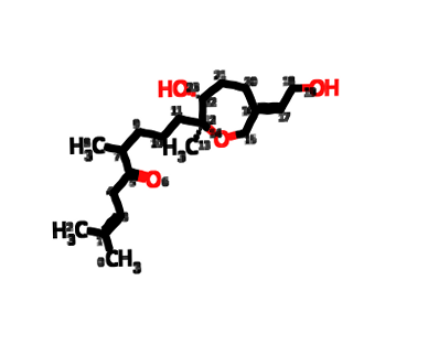 CC(C)=CCC(=O)C(C)CCC[C@]1(C)OC/C(=C/CO)CC[C@H]1O